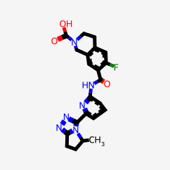 CC1CCc2nnc(-c3cccc(NC(=O)c4cc5c(cc4F)CCN(C(=O)O)C5)n3)n21